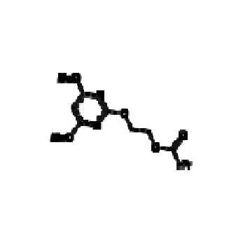 CCCC(=O)OCCOc1nc(OC)cc(OC)n1